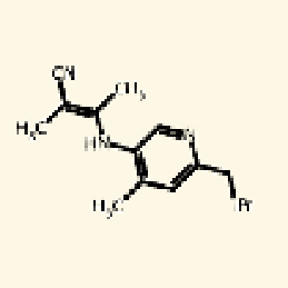 C/C(C#N)=C(/C)Nc1cnc(CC(C)C)cc1C